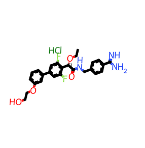 CCO[C@H](C(=O)NCc1ccc(C(=N)N)cc1)c1c(F)cc(-c2cccc(OCCO)c2)cc1F.Cl